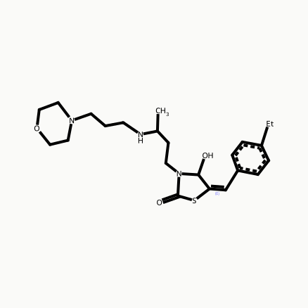 CCc1ccc(/C=C2/SC(=O)N(CCC(C)NCCCN3CCOCC3)C2O)cc1